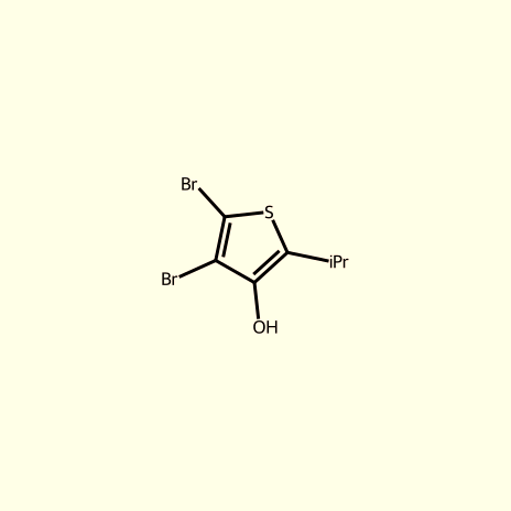 CC(C)c1sc(Br)c(Br)c1O